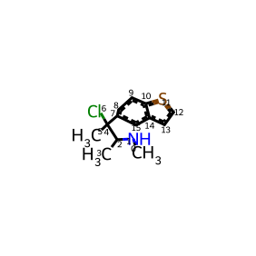 CNC(C)C(C)(Cl)c1ccc2sccc2c1